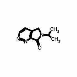 CC(C)N1Cc2ccnnc2C1=O